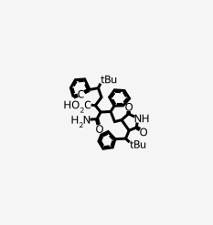 CC(C)(C)C(CC(C(=O)O)C(C(N)=O)C(CC1C(=O)NC(=O)C1C(c1ccccc1)C(C)(C)C)c1ccccc1)c1ccccc1